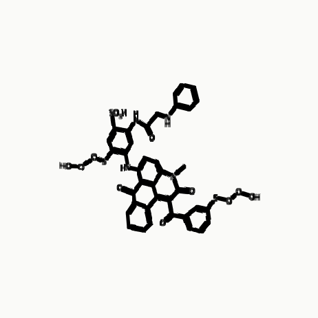 Cn1c(=O)c(C(=O)c2cccc(SOOO)c2)c2c3c(c(Nc4cc(NC(=O)CNc5ccccc5)c(S(=O)(=O)O)cc4SOOO)ccc31)C(=O)c1ccccc1-2